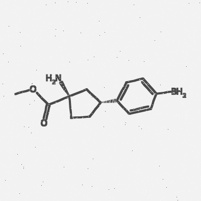 Bc1ccc([C@@H]2CC[C@](N)(C(=O)OC)C2)cc1